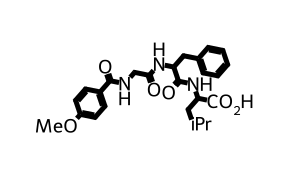 COc1ccc(C(=O)NCC(=O)NC(Cc2ccccc2)C(=O)NC(CC(C)C)C(=O)O)cc1